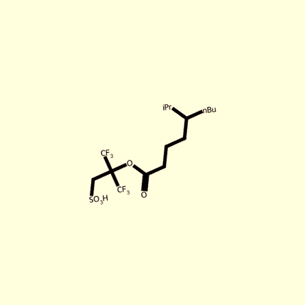 CCCCC(CCCC(=O)OC(CS(=O)(=O)O)(C(F)(F)F)C(F)(F)F)C(C)C